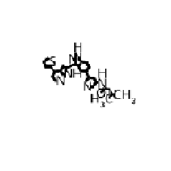 CN(C)CC(=O)Nc1cncc(-c2ccc3[nH]nc(-c4cc5c(-c6cccs6)ccnc5[nH]4)c3c2)c1